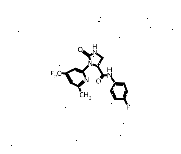 Cc1cc(C(F)(F)F)cc(N2C(=O)NCC2C(=O)Nc2ccc(F)cc2)n1